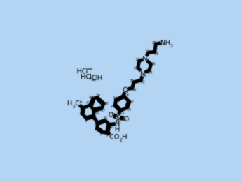 Cc1ccc(-c2ccc(C(=O)O)c(NS(=O)(=O)c3ccc(OCCCN4CCN(CCCN)CC4)cc3)c2)c2ccccc12.Cl.Cl.Cl